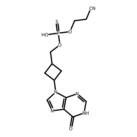 N#CCCOP(O)(=S)OCC1CC(n2cnc3c(=O)[nH]cnc32)C1